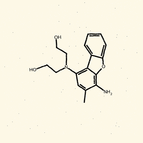 Cc1cc(N(CCO)CCO)c2c(oc3ccccc32)c1N